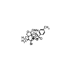 C=C1C2(Br)C=C(OS(=O)(=O)c3ccc(C)cc3)C3(C)C1(C)COC3(OC)C2=O